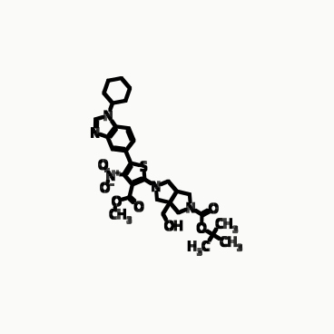 COC(=O)c1c(N2CC3CN(C(=O)OC(C)(C)C)CC3(CO)C2)sc(-c2ccc3c(c2)ncn3C2CCCCC2)c1[N+](=O)[O-]